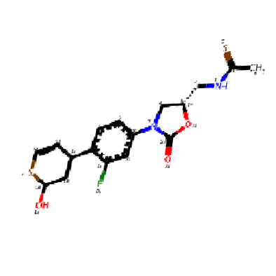 CC(=S)NC[C@H]1CN(c2ccc(C3C=CSC(O)C3)c(F)c2)C(=O)O1